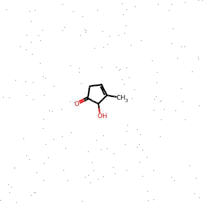 CC1=CCC(=O)C1O